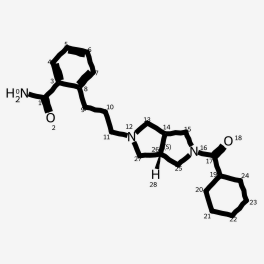 NC(=O)c1ccccc1[CH]CCN1CC2CN(C(=O)C3CCCCC3)C[C@@H]2C1